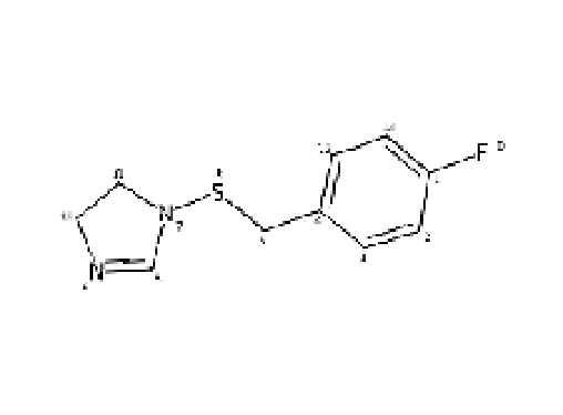 Fc1ccc(CSN2C=NCC2)cc1